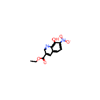 CCOC(=O)c1cnc2c(O)c([N+](=O)[O-])ccc2c1